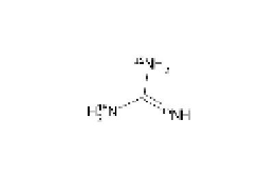 [15NH]=C([15NH2])[15NH2]